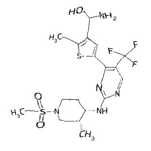 Cc1sc(-c2nc(N[C@H]3CCN(S(C)(=O)=O)C[C@H]3C)ncc2C(F)(F)F)cc1C(N)O